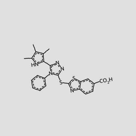 Cc1[nH]c(-c2nnc(Sc3nc4ccc(C(=O)O)cc4s3)n2-c2ccccc2)c(C)c1C